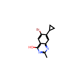 Cc1nc(O)c2cc(Br)c(C3CC3)cc2n1